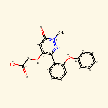 Cn1nc(-c2ccccc2Oc2ccccc2)c(OCC(=O)O)cc1=O